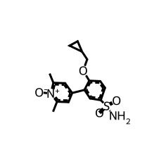 Cc1cc(-c2cc(S(N)(=O)=O)ccc2OCC2CC2)cc(C)[n+]1[O-]